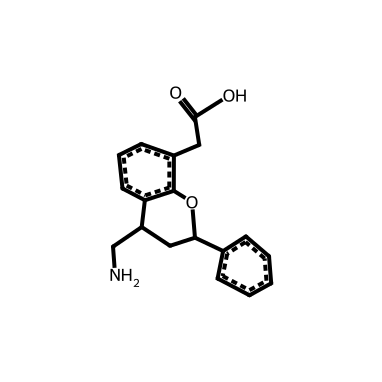 NCC1CC(c2ccccc2)Oc2c(CC(=O)O)cccc21